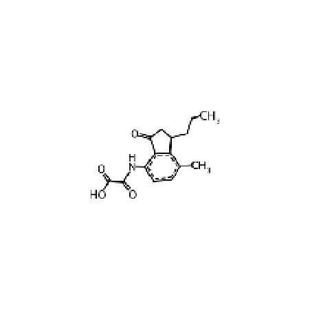 CCCC1CC(=O)c2c(NC(=O)C(=O)O)ccc(C)c21